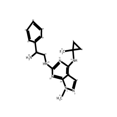 Cn1ncc2c(NC3(C(F)(F)F)CC3)nc(NCC(N)c3ccccc3)nc21